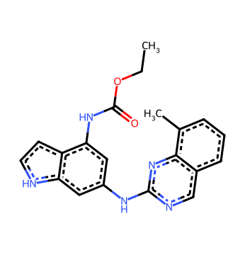 CCOC(=O)Nc1cc(Nc2ncc3cccc(C)c3n2)cc2[nH]ccc12